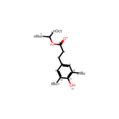 CCCCCCCCCC(CCCCCCCC)OC(=O)CCc1cc(C(C)(C)C)c(O)c(C(C)(C)C)c1